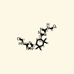 CC1(C)CC(C)(C)[C@H](c2nnc(NC=O)s2)C[C@H]1c1nnc(NC=O)s1